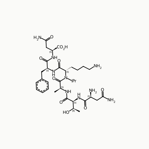 CC(C)N(C(=O)[C@H](C)NC(=O)[C@@H](NC(=O)[C@@H](N)CC(N)=O)[C@@H](C)O)[C@@H](CCCCN)C(=O)N[C@@H](Cc1ccccc1)C(=O)N[C@@H](CC(N)=O)C(=O)O